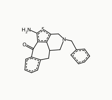 Nc1sc2c3c1C(=O)c1ccccc1CC3CN(Cc1ccccc1)C2